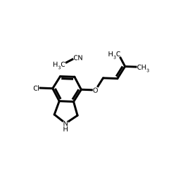 CC#N.CC(C)=CCOc1ccc(Cl)c2c1CNC2